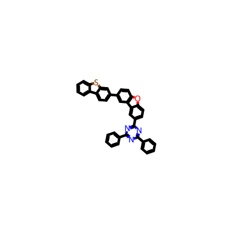 c1ccc(-c2nc(-c3ccccc3)nc(-c3ccc4oc5ccc(-c6ccc7c(c6)sc6ccccc67)cc5c4c3)n2)cc1